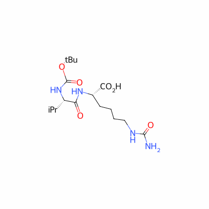 CC(C)[C@H](NC(=O)OC(C)(C)C)C(=O)N[C@@H](CCCCNC(N)=O)C(=O)O